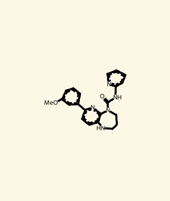 COc1cccc(-c2ccc3c(n2)N(C(=O)Nc2ccccn2)CCCN3)c1